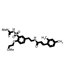 CNC(=S)NS(=O)(=O)c1cc(CCNC(=O)C=Cc2ccc(C)cc2C)ccc1OCCOC